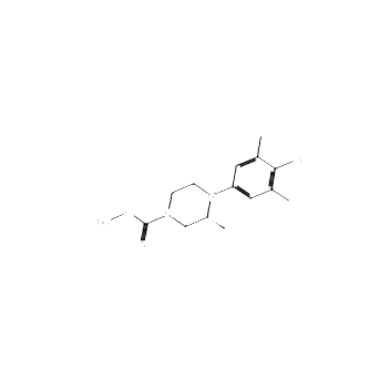 Cc1cc(N2CCN(C(=O)OC(C)(C)C)C[C@@H]2C)cc(C)c1Cl